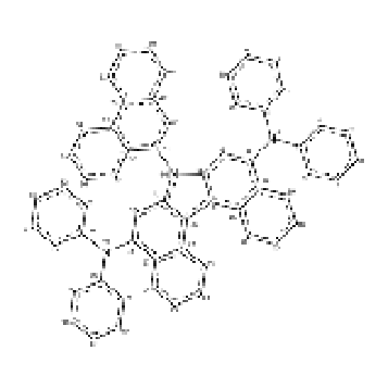 c1ccc(N(c2ccccc2)c2cc3c(c4ccccc24)c2c4ccccc4c(N(c4ccccc4)c4ccccc4)cc2n3-c2cc3ccccc3c3ccccc23)cc1